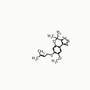 COc1cc2c(cc1SCC=C(C)C)OC(C)(C)c1[se]nnc1-2